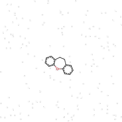 c1ccc2c(c1)CCc1ccccc1O2